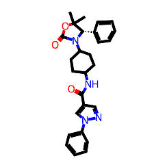 CC1(C)OC(=O)N(C2CCC(NC(=O)c3cnn(-c4ccccc4)c3)CC2)[C@H]1c1ccccc1